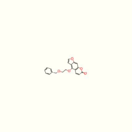 O=c1ccc2c(OCCOCc3ccccc3)c3ccoc3cc2o1